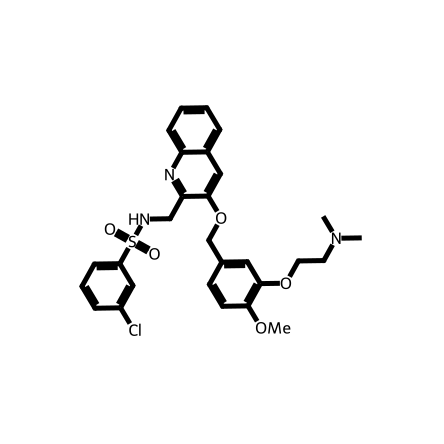 COc1ccc(COc2cc3ccccc3nc2CNS(=O)(=O)c2cccc(Cl)c2)cc1OCCN(C)C